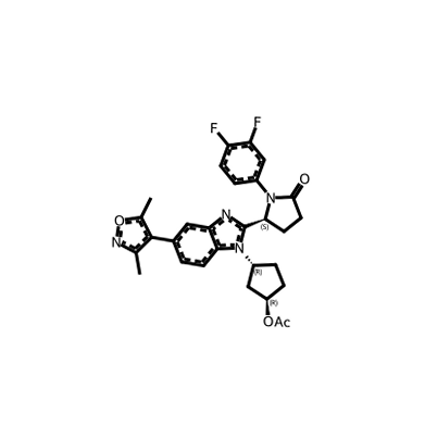 CC(=O)O[C@@H]1CC[C@@H](n2c([C@@H]3CCC(=O)N3c3ccc(F)c(F)c3)nc3cc(-c4c(C)noc4C)ccc32)C1